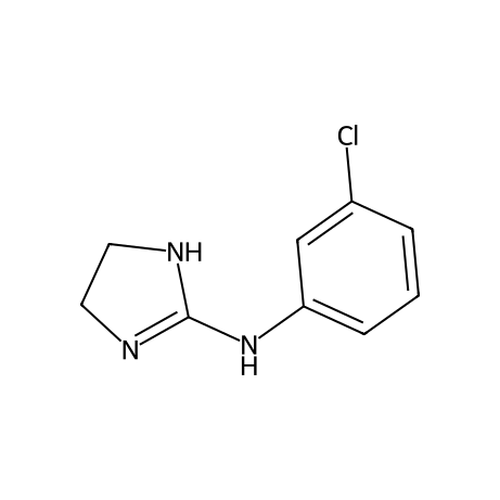 Clc1cccc(NC2=NCCN2)c1